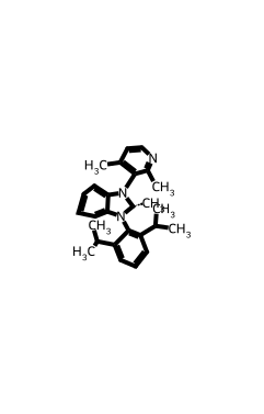 Cc1ccnc(C)c1N1c2ccccc2N(c2c(C(C)C)cccc2C(C)C)[C@H]1C